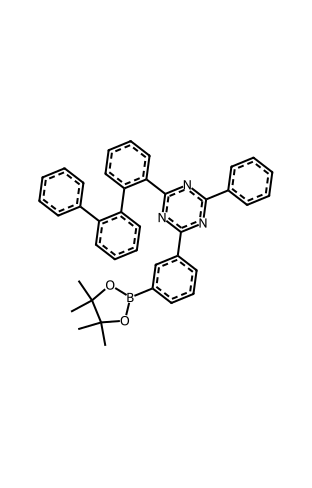 CC1(C)OB(c2cccc(-c3nc(-c4ccccc4)nc(-c4ccccc4-c4ccccc4-c4ccccc4)n3)c2)OC1(C)C